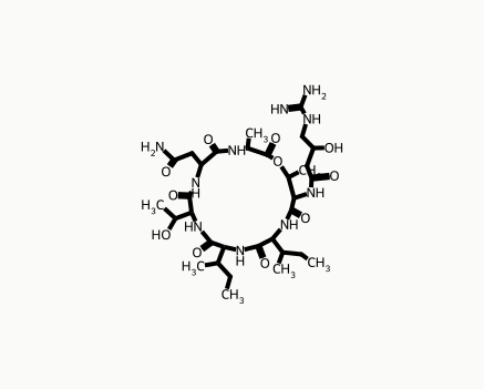 CCC(C)C1NC(=O)C(C(C)CC)NC(=O)C(NC(=O)CC(O)CNC(=N)N)C(C)OC(=O)C(C)NC(=O)C(CC(N)=O)NC(=O)C(C(C)O)NC1=O